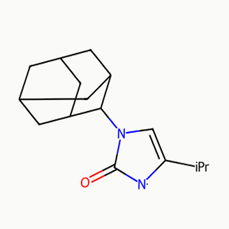 CC(C)C1=CN(C2C3CC4CC(C3)CC2C4)C(=O)[N]1